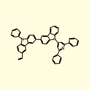 C=Cc1ccc2c(c1)c1cc(-c3ccc4c(c3)c3ccccc3n4-c3cc(-c4ccccc4)nc(-c4ccccc4)c3)ccc1n2-c1ccccc1